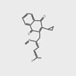 C=N/C(=C\C=C(/C)F)CC1=C(C2CC2)C(=O)c2ccccc2C1=O